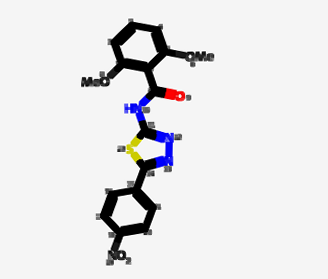 COc1cccc(OC)c1C(=O)Nc1nnc(-c2ccc([N+](=O)[O-])cc2)s1